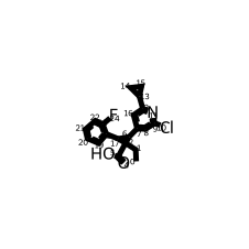 CCC1(C(=O)O)C(c2cc(Cl)nc(C3CC3)c2)C1c1ccccc1F